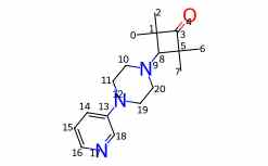 CC1(C)C(=O)C(C)(C)C1N1CCN(c2cccnc2)CC1